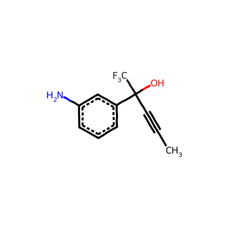 CC#CC(O)(c1cccc(N)c1)C(F)(F)F